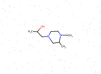 CC(O)CN1CCN(C)C(C)C1